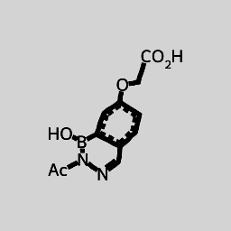 CC(=O)N1N=Cc2ccc(OCC(=O)O)cc2B1O